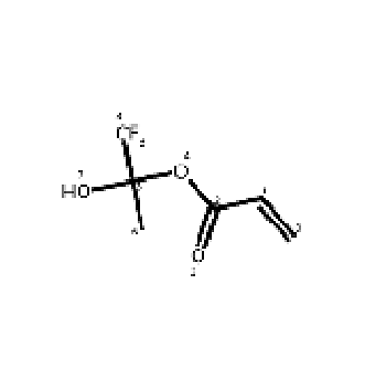 C=CC(=O)OC(C)(O)C(F)(F)F